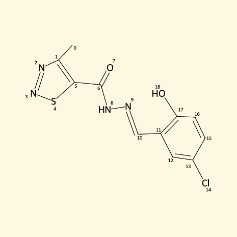 Cc1nnsc1C(=O)NN=Cc1cc(Cl)ccc1O